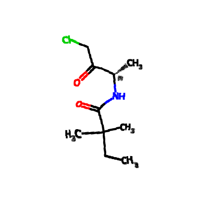 CCC(C)(C)C(=O)N[C@@H](C)C(=O)CCl